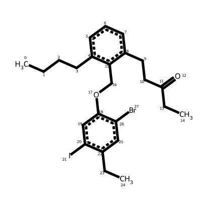 CCCCc1cccc(CCC(=O)CC)c1COc1cc(I)c(CC)cc1Br